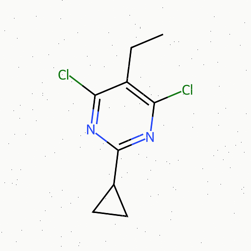 CCc1c(Cl)nc(C2CC2)nc1Cl